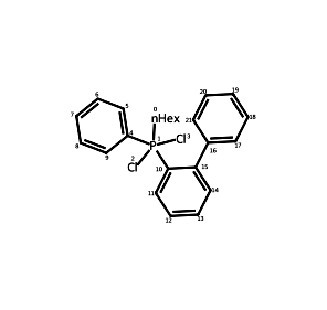 CCCCCCP(Cl)(Cl)(c1ccccc1)c1ccccc1-c1ccccc1